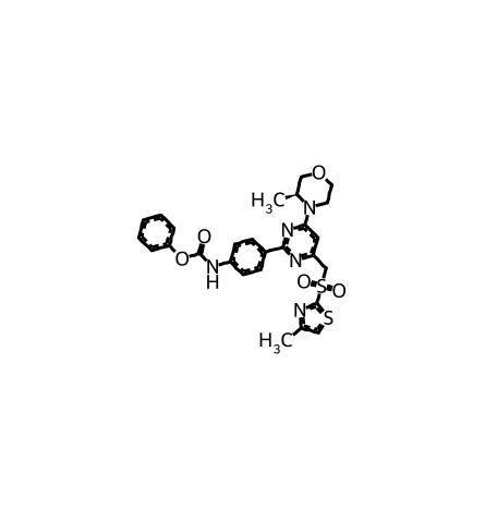 Cc1csc(S(=O)(=O)Cc2cc(N3CCOC[C@@H]3C)nc(-c3ccc(NC(=O)Oc4ccccc4)cc3)n2)n1